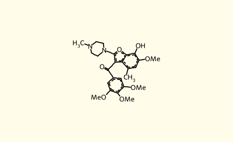 COc1cc(C(=O)c2c(N3CCN(C)CC3)oc3c(O)c(OC)cc(C)c23)cc(OC)c1OC